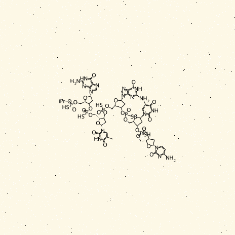 Cc1cn([C@H]2CC(OP(=O)(S)OC[C@H]3O[C@@H](n4cnc5c(=O)[nH]c(N)nc54)CC3OP(=O)(S)OC[C@H]3O[C@@H](n4cc(C)c(=O)[nH]c4=O)CC3OP(=O)(S)OC[C@H]3O[C@@H](n4ccc(N)nc4=O)CC3C(C)C)[C@@H](COP(=O)(S)OC3C[C@H](n4cnc5c(=O)[nH]c(N)nc54)O[C@@H]3COP(=O)(S)OC(C)C)O2)c(=O)[nH]c1=O